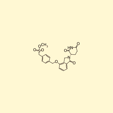 COS(=O)(=O)Cc1ccc(COc2cccc3c2CN([C@H]2CCC(=O)NC2=O)C3=O)cc1